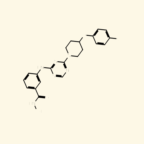 CNC(=O)c1cccc(Nc2ncnc(N3CCC(Oc4ccc(Cl)cc4)CC3)n2)c1